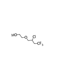 OCCOCC(Cl)CC(F)(F)F